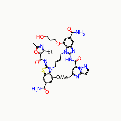 CCc1nc(C)oc1C(=O)/N=c1\sc2cc(C(N)=O)cc(OC)c2n1C/C=C/Cn1c(NC(=O)c2cc(C)nc3ccnn23)nc2cc(C(N)=O)cc(OCCCO)c21